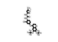 [2H]C([2H])([2H])Oc1cc2nccc(Oc3ccc(NC(=O)Nc4cc(C)on4)c(Cl)c3)c2cc1OC([2H])([2H])[2H]